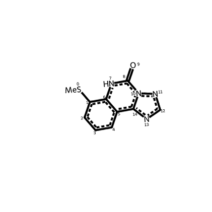 CSc1cccc2c1[nH]c(=O)n1ncnc21